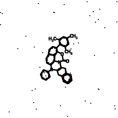 Cc1cc(C)c(-c2ccc3ccc4c5c3c2OC(=O)N5C2=C(B4c3ccccc3)C3c4ccccc4C2c2ccccc23)c(C)c1